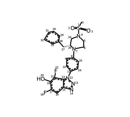 CS(=O)(=O)N1CCN(c2ccc(-n3nnc4cc(F)c(O)c(F)c43)cc2)[C@H](Cc2ccccc2)C1